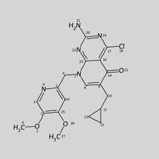 COc1cnc(Cn2cc(CC3CC3)c(=O)c3c(Cl)nc(N)nc32)cc1OC